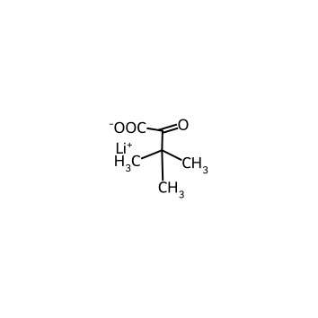 CC(C)(C)C(=O)C(=O)[O-].[Li+]